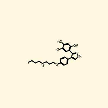 Oc1cc(O)c(-c2n[nH]cc2-c2ccc(OCCCNCCCI)cc2)cc1Cl